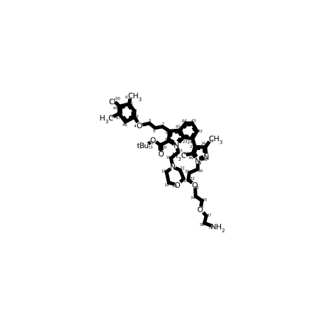 Cc1cc(OCCCc2c(C(=O)OC(C)(C)C)n(CCN3CCOCC3)c3c(-c4c(C)nn(CCCOCCOCCN)c4C)cccc23)cc(C)c1Cl